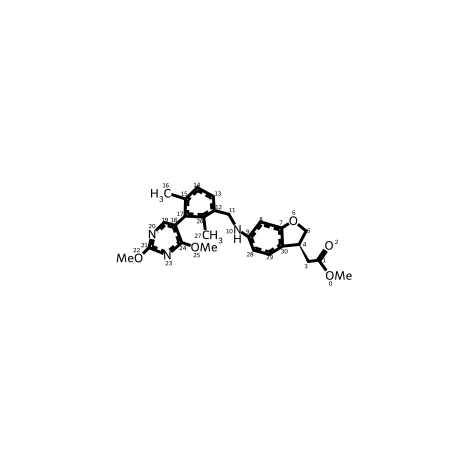 COC(=O)C[C@@H]1COc2cc(NCc3ccc(C)c(-c4cnc(OC)nc4OC)c3C)ccc21